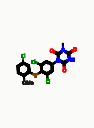 COc1ccc(Cl)cc1Sc1c(Cl)cc(-n2c(=O)[nH]c(=O)n(C)c2=O)cc1Cl